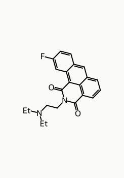 CCN(CC)CCN1C(=O)c2cccc3cc4ccc(F)cc4c(c23)C1=O